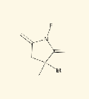 C=C1CC(C)(CC)C(=C)N1F